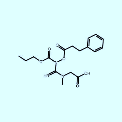 CCCOC(=O)N(OC(=O)CCc1ccccc1)C(=N)N(C)CC(=O)O